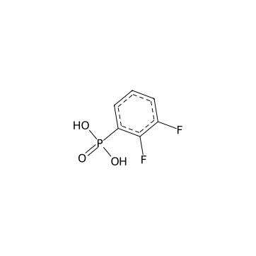 O=P(O)(O)c1cccc(F)c1F